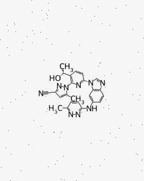 Cc1ccc(Nc2ccc3ncn(-c4ccc([C@H](C)O)c(-n5nc(C#N)cc5C)n4)c3c2)nn1